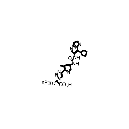 CCCCCC(C(=O)O)n1cc(-c2ncc(NC(=O)Nc3cnc4ccnn4c3C3CCCC3)cc2C)nn1